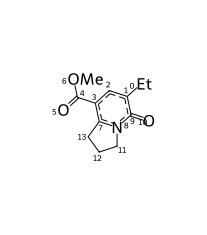 CCc1cc(C(=O)OC)c2n(c1=O)CCC2